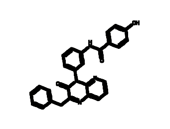 O=C(Nc1cccc(-n2c(=O)c(Cc3ccccc3)nc3cccnc32)c1)c1ccc(O)cc1